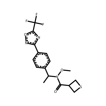 CON(C(=O)C1CSC1)C(C)c1ccc(-c2noc(C(F)(F)F)n2)cc1